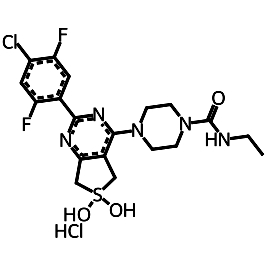 CCNC(=O)N1CCN(c2nc(-c3cc(F)c(Cl)cc3F)nc3c2CS(O)(O)C3)CC1.Cl